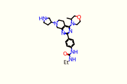 CCNC(=O)Nc1ccc(-c2nc3c(c(N4CCOCC4C)n2)CCN(C2CCNC2)C3)cc1